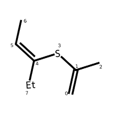 C=C(C)S/C(=C\C)CC